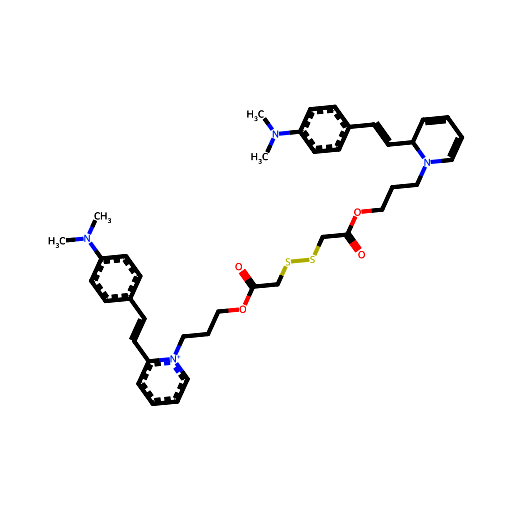 CN(C)c1ccc(/C=C/c2cccc[n+]2CCCOC(=O)CSSCC(=O)OCCCN2C=CC=CC2/C=C/c2ccc(N(C)C)cc2)cc1